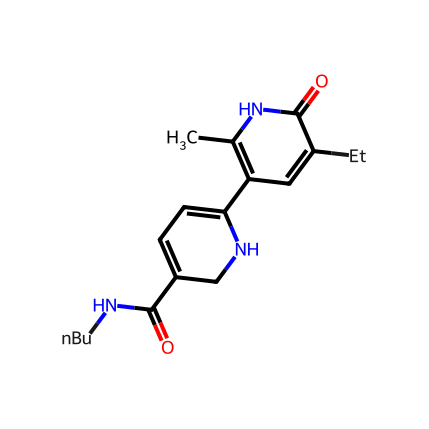 CCCCNC(=O)C1=CC=C(c2cc(CC)c(=O)[nH]c2C)NC1